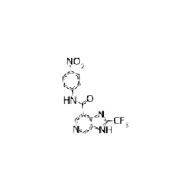 O=C(Nc1ccc([N+](=O)[O-])cc1)c1cncc2[nH]c(C(F)(F)F)nc12